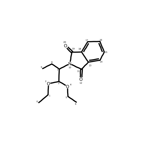 CCOC(OCC)C(CC)N1C(=O)c2ccccc2C1=O